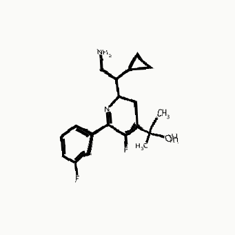 CC(C)(O)C1=C(F)C(c2cccc(F)c2)=NC(C(CN)C2CC2)C1